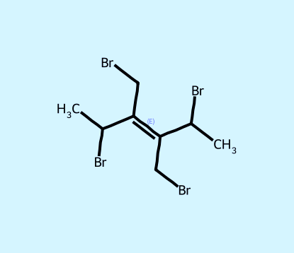 CC(Br)/C(CBr)=C(\CBr)C(C)Br